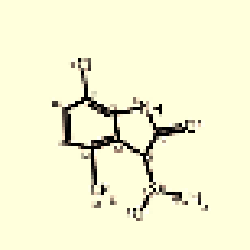 C[S+]([O-])C1C(=O)Nc2c(Cl)ccc(C(F)(F)F)c21